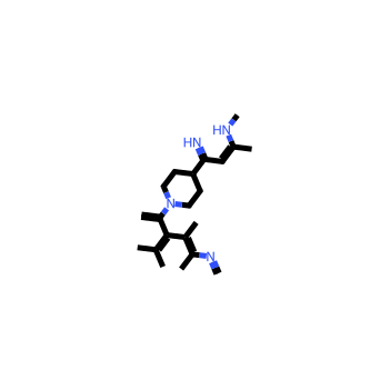 C=N/C(C)=C(\C)C(C(=C)N1CCC(C(=N)/C=C(/C)NC)CC1)=C(C)C